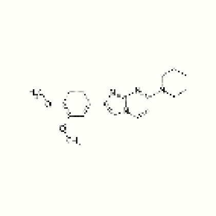 COc1ccc(-c2cn3ccc(N4CCCCC4)nc3n2)cc1OC